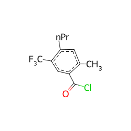 CCCc1cc(C)c(C(=O)Cl)cc1C(F)(F)F